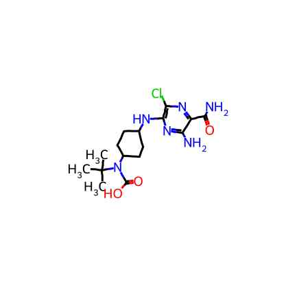 CC(C)(C)N(C(=O)O)C1CCC(Nc2nc(N)c(C(N)=O)nc2Cl)CC1